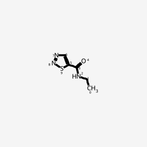 CCNC(=O)c1cnns1